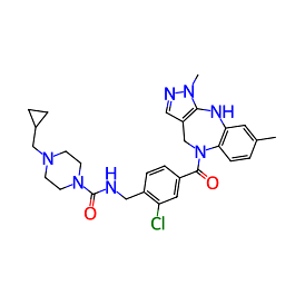 Cc1ccc2c(c1)Nc1c(cnn1C)CN2C(=O)c1ccc(CNC(=O)N2CCN(CC3CC3)CC2)c(Cl)c1